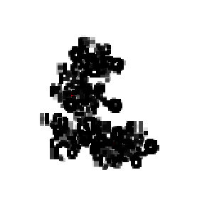 CCCC[C@@H](C(=O)NCC(=O)OC)N(C=O)c1cc(-c2c(OC)cccc2OC)n(CC(C)C)n1.COC(=O)CNC(=O)[C@H](CCc1ccccc1)N(C=O)c1cc(-c2c(OC)cccc2OC)n(CC(C)C)n1.COC(=O)CNC(=O)[C@H](Cc1ccccc1)N(C=O)c1cc(-c2c(OC)cccc2OC)n(CC(C)C)n1.COc1cccc(OC)c1-c1cc(N(C=O)[C@@H](CC2CCCCC2)C(=O)O)nn1CC(C)C